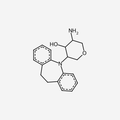 NC1COCC(N2c3ccccc3CCc3ccccc32)C1O